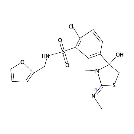 C/N=C1\SCC(O)(c2ccc(Cl)c(S(=O)(=O)NCc3ccco3)c2)N1C